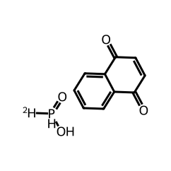 O=C1C=CC(=O)c2ccccc21.[2H][PH](=O)O